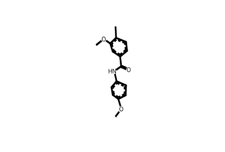 COc1ccc(NC(=O)c2ccc(C)c(OC)c2)cc1